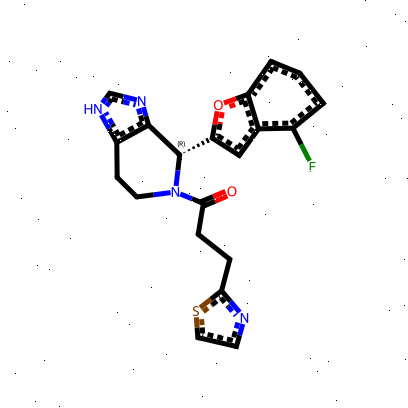 O=C(CCc1nccs1)N1CCc2[nH]cnc2[C@@H]1c1cc2c(F)cccc2o1